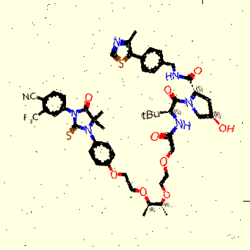 Cc1ncsc1-c1ccc(CNC(=O)[C@@H]2C[C@@H](O)CN2C(=O)[C@@H](NC(=O)COCCO[C@H](C)[C@@H](C)OCCOc2ccc(N3C(=S)N(c4ccc(C#N)c(C(F)(F)F)c4)C(=O)C3(C)C)cc2)C(C)(C)C)cc1